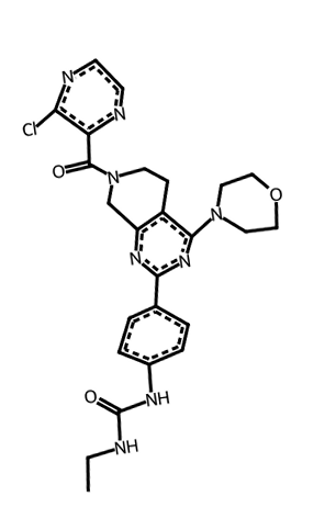 CCNC(=O)Nc1ccc(-c2nc3c(c(N4CCOCC4)n2)CCN(C(=O)c2nccnc2Cl)C3)cc1